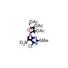 CSc1nc(Cl)c2c([N+](=O)[O-])cn(C3O[C@H](COC(C)=O)[C@@H](OC(C)=O)C3(C)OC(C)=O)c2n1